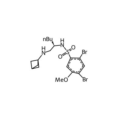 CCCC[C@H](CNC12CC(C1)C2)NS(=O)(=O)c1cc(OC)c(Br)cc1Br